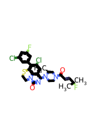 C[C@H]1CN(C(=O)/C=C/C(C)(C)F)CCN1c1nc(=O)n2c3c(c(-c4cc(F)cc(Cl)c4)c(Cl)cc13)SCC2